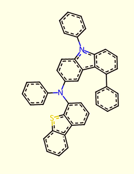 c1ccc(-c2cccc3c2c2cc(N(c4ccccc4)c4cccc5c4sc4ccccc45)ccc2n3-c2ccccc2)cc1